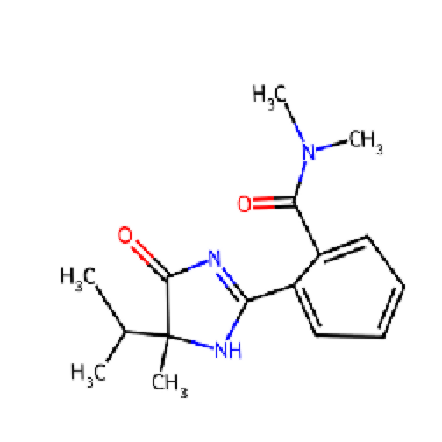 CC(C)C1(C)NC(c2ccccc2C(=O)N(C)C)=NC1=O